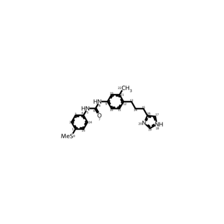 CSc1ccc(NC(=O)Nc2ccc(CCCc3c[nH]cn3)c(C)c2)cc1